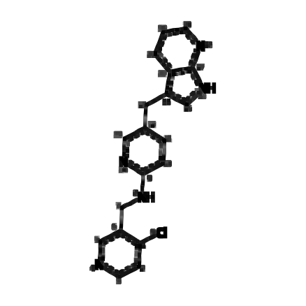 Clc1ccncc1CNc1ccc(Cc2c[nH]c3ncccc23)cn1